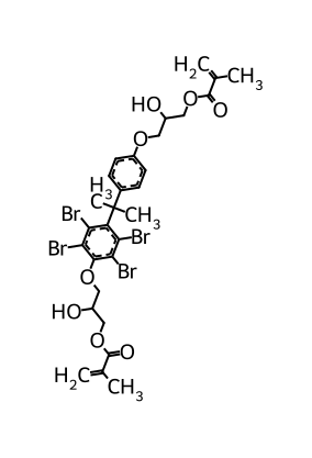 C=C(C)C(=O)OCC(O)COc1ccc(C(C)(C)c2c(Br)c(Br)c(OCC(O)COC(=O)C(=C)C)c(Br)c2Br)cc1